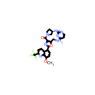 COc1ccc(-c2nc(C(=O)N3CC[C@@H](Nc4ncccn4)C3)c(CN)o2)c2ccc(C(F)(F)F)nc12